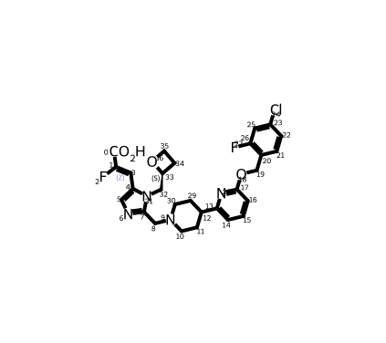 O=C(O)/C(F)=C/c1cnc(CN2CCC(c3cccc(OCc4ccc(Cl)cc4F)n3)CC2)n1C[C@@H]1CCO1